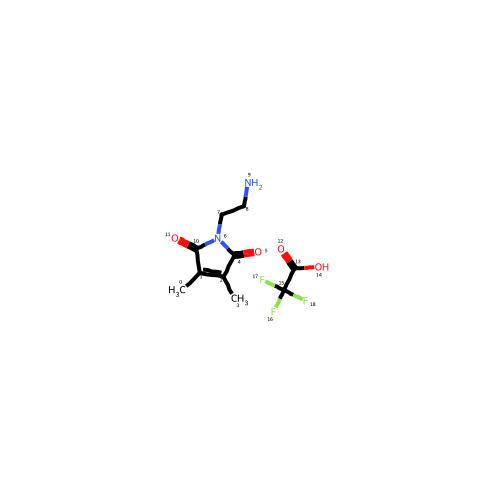 CC1=C(C)C(=O)N(CCN)C1=O.O=C(O)C(F)(F)F